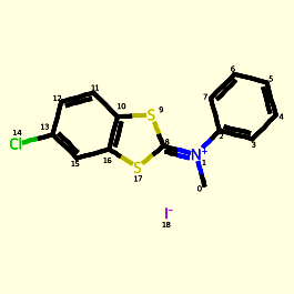 C/[N+](c1ccccc1)=c1/sc2ccc(Cl)cc2s1.[I-]